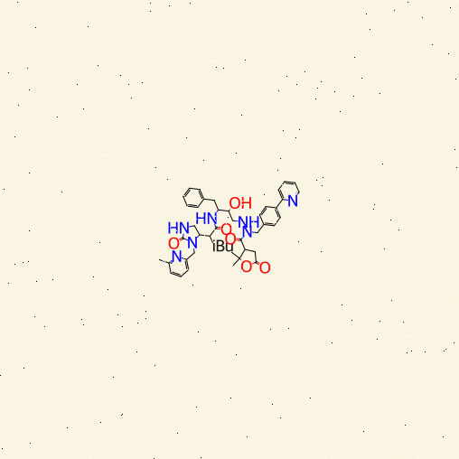 CCC(C)C(C(=O)NC(Cc1ccccc1)C(O)CNN(Cc1ccc(-c2ccccn2)cc1)C(=O)C1CC(=O)OC1(C)C)C1CNC(=O)N1Cc1cccc(C)n1